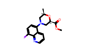 COC(=O)[C@H]1CN(c2ccc(I)c3ncccc23)C[C@@H](C)O1